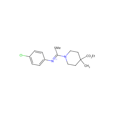 CCOC(=O)C1(C)CCN(/C(=N/c2ccc(Cl)cc2)SC)CC1